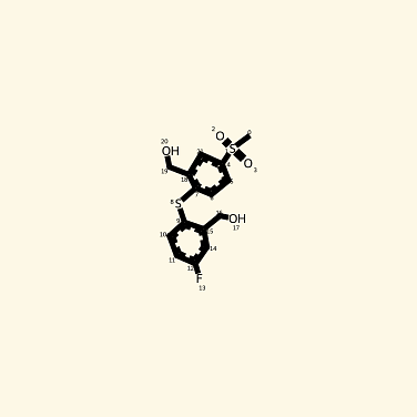 CS(=O)(=O)c1ccc(Sc2ccc(F)cc2CO)c(CO)c1